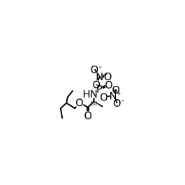 CCC(CC)COC(=O)[C@H](C)NP(=O)(O[N+](=O)[O-])O[N+](=O)[O-]